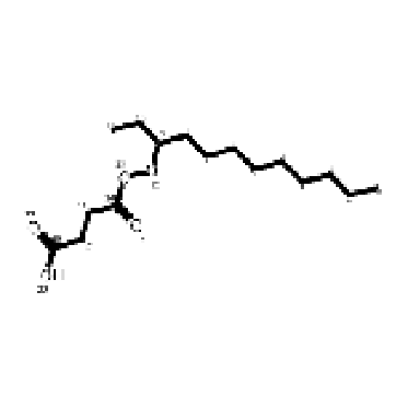 CCCCCCCCCC(CC)OOC(=O)CCC(=O)O